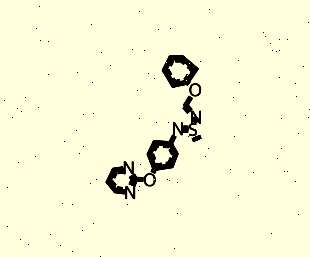 C#S(N=COc1ccccc1)=Nc1ccc(Oc2ncccn2)cc1